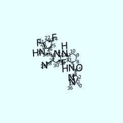 Cc1cc(C(=O)N[C@@H]2CCC[C@H](Nc3nc(-c4c[nH]c5c(F)cc(F)cc45)c(C#N)cc3F)C2)nn1C